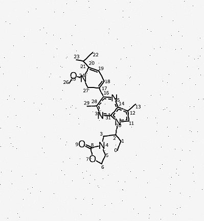 CCC(CN1CCOC1=O)n1cc(C)c2nc(C3=CC=C(C(C)C)N(OC)C3)c(C)nc21